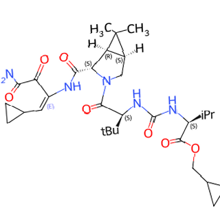 CC(C)[C@H](NC(=O)N[C@H](C(=O)N1C[C@H]2[C@@H]([C@H]1C(=O)N/C(=C/C1CC1)C(=O)C(N)=O)C2(C)C)C(C)(C)C)C(=O)OCC1CC1